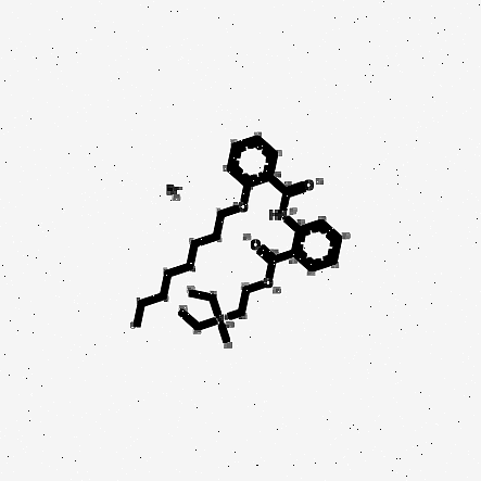 CCCCCCCCOc1ccccc1C(=O)Nc1ccccc1C(=O)OCC[N+](C)(CC)CC.[Br-]